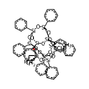 C=C[Si]1(C)O[Si]2(c3ccccc3)O[Si]3(c4ccccc4)O[Si]4(c5ccccc5)O[Si](C)(C=C)O[Si]5(c6ccccc6)O[Si](c6ccccc6)(O[Si](c6ccccc6)(O1)O[Si](c1ccccc1)(O5)O[Si](c1ccccc1)(O2)O4)O3